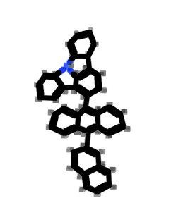 C1=CCC2C(=C1)n1c3ccccc3c3c(-c4c5ccccc5c(-c5ccc6ccccc6c5)c5ccccc45)ccc2c31